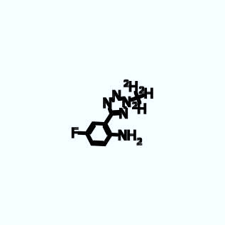 [2H]C([2H])([2H])n1nnc(-c2cc(F)ccc2N)n1